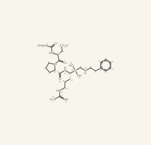 CCCCCCCC(=O)N[C@@H](CC(=O)O)C(=O)N1CCC[C@H]1C(=O)N[C@@H](CCCNC(=N)N)[Si](O)(O)CNCCc1ccccc1